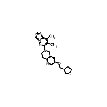 Cc1c(N2CCc3ncc(OCC4CCOC4)cc3C2)nn2cnnc2c1C